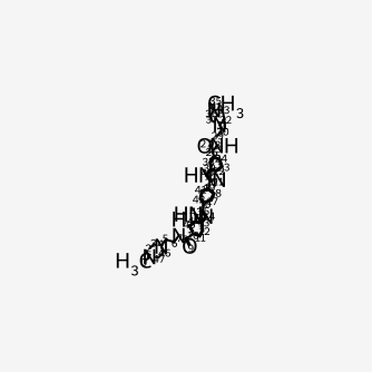 CN1CCN(CCNC(=O)c2ccc3nc(-c4ccc(-c5nc6ccc(C(=O)NCCN7CCN(C)CC7)cc6[nH]5)cc4)[nH]c3c2)CC1